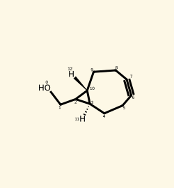 OCC1[C@@H]2CCC#CCC[C@@H]12